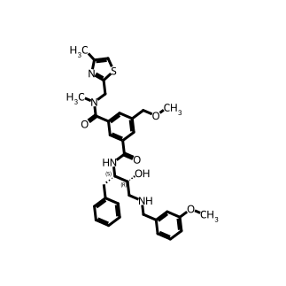 COCc1cc(C(=O)N[C@@H](Cc2ccccc2)[C@H](O)CNCc2cccc(OC)c2)cc(C(=O)N(C)Cc2nc(C)cs2)c1